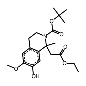 CCOC(=O)CC1(C)c2cc(O)c(OC)cc2CCN1C(=O)OC(C)(C)C